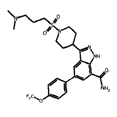 CN(C)CCCS(=O)(=O)N1CCC(c2n[nH]c3c(C(N)=O)cc(-c4ccc(OC(F)(F)F)cc4)cc23)CC1